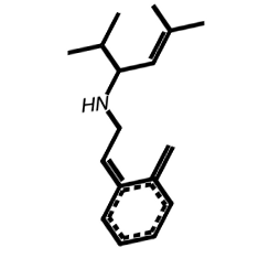 C=c1cccc/c1=C/CNC(C=C(C)C)C(C)C